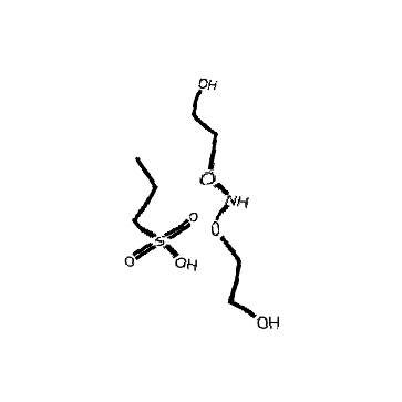 CCCS(=O)(=O)O.OCCONOCCO